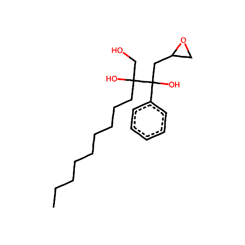 CCCCCCCCCC(O)(CO)C(O)(CC1CO1)c1ccccc1